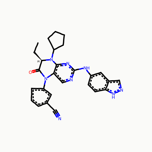 CC[C@@H]1C(=O)N(c2cccc(C#N)c2)c2cnc(Nc3ccc4[nH]ncc4c3)nc2N1C1CCCC1